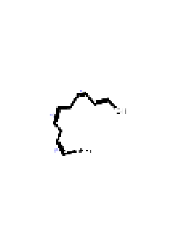 CCCCC/C=C\C/C=C\C/C=C\C=CO